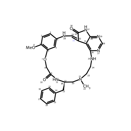 COc1ccc2cc1OCC(=O)N[C@H](Cc1ccccc1)CN(C)CCNc1ncnc3c1/C(=C/N2)C(=O)N3